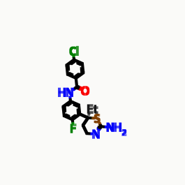 CC[C@@]1(c2cc(NC(=O)c3ccc(Cl)cc3)ccc2F)CCN=C(N)S1